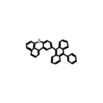 c1ccc(-c2c3ccccc3c(-c3ccc4c(c3)-c3cccc5cccc(c35)S4)c3ccccc23)cc1